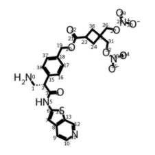 NC[C@@H](C(=O)Nc1cc2ccncc2s1)c1ccc(COC(=O)C2CC(CO[N+](=O)[O-])(CO[N+](=O)[O-])C2)cc1